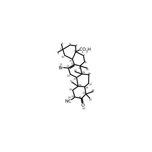 CC1(C)CCC2(C(=O)O)CCC3(C)C(=C(Br)CC4C5(C)CC(C#N)C(=O)C(C)(C)C5CCC43C)C2C1